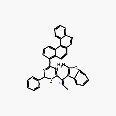 C/C=C(/C1=NC(c2cccc3c2ccc2ccc4ccccc4c23)=NC(c2ccccc2)N1)c1c(N)oc2ccccc12